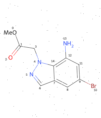 COC(=O)Cn1ncc2cc(Br)cc(N)c21